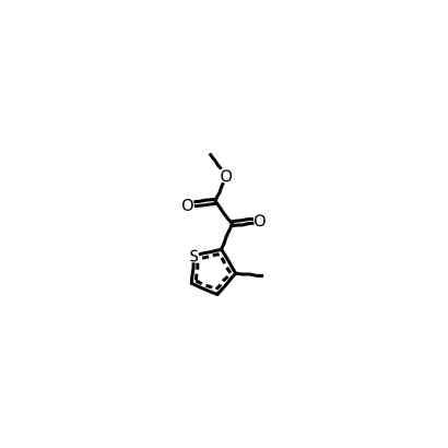 COC(=O)C(=O)c1sccc1C